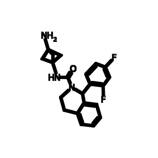 NC12CC(NC(=O)N3CCc4ccccc4C3c3ccc(F)cc3F)(C1)C2